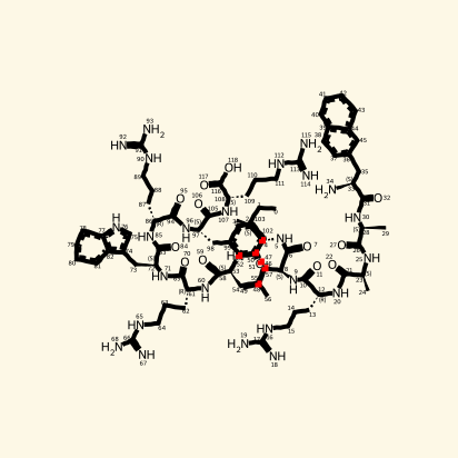 CC[C@H](C)[C@H](NC(=O)[C@@H](NC(=O)[C@@H](CCCNC(=N)N)NC(=O)[C@H](C)NC(=O)[C@H](C)NC(=O)[C@@H](N)Cc1ccc2ccccc2c1)[C@@H](C)CC)C(=O)N[C@@H](CC(C)C)C(=O)N[C@H](CCCNC(=N)N)C(=O)N[C@@H](Cc1c[nH]c2ccccc12)C(=O)N[C@H](CCCNC(=N)N)C(=O)N[C@@H](Cc1ccccc1)C(=O)N[C@@H](CCCNC(=N)N)C(=O)O